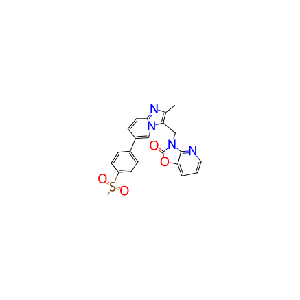 Cc1nc2ccc(-c3ccc(S(C)(=O)=O)cc3)cn2c1Cn1c(=O)oc2cccnc21